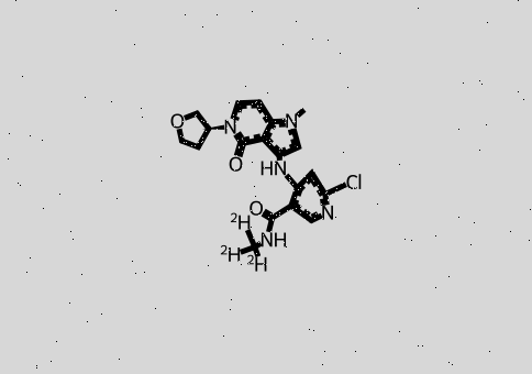 [2H]C([2H])([2H])NC(=O)c1cnc(Cl)cc1Nc1cn(C)c2ccn([C@H]3CCOC3)c(=O)c12